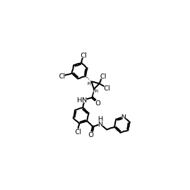 O=C(NCc1cccnc1)c1cc(NC(=O)[C@H]2[C@H](c3cc(Cl)cc(Cl)c3)C2(Cl)Cl)ccc1Cl